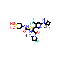 CC1CC(F)(F)CN1C(=O)c1nc(C(=O)NC2CCS(O)(O)CC2)sc1-c1cnc(NC2(C)CCC2)cc1C(F)F